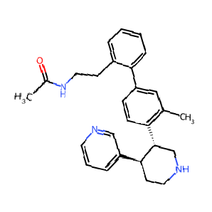 CC(=O)NCCc1ccccc1-c1ccc([C@@H]2CNCC[C@H]2c2cccnc2)c(C)c1